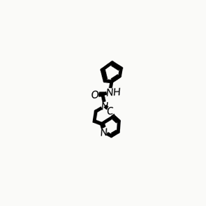 O=C(Nc1ccccc1)N1CCc2ncccc2C1